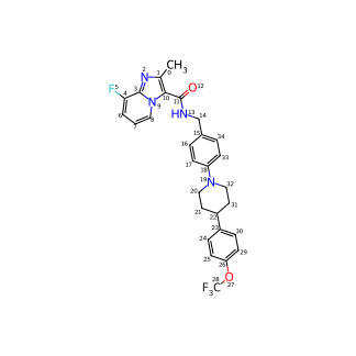 Cc1nc2c(F)cccn2c1C(=O)NCc1ccc(N2CCC(c3ccc(OC(F)(F)F)cc3)CC2)cc1